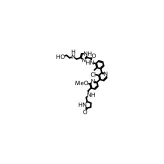 COc1nc(-c2ccnc(-c3cccc(NC(=O)c4nc(CNCCO)c[nH]4)c3C)c2Cl)ccc1CNCC1CCC(=O)N1